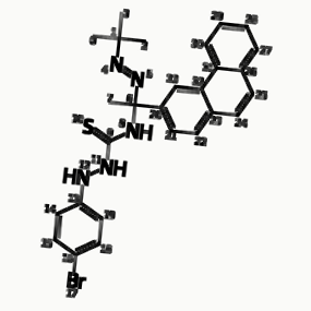 CC(C)(C)N=NC(C)(NC(=S)NNc1ccc(Br)cc1)c1ccc2ccc3ccccc3c2c1